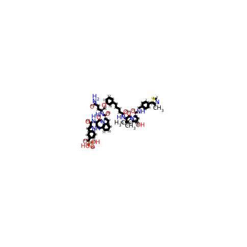 Cc1ncsc1-c1ccc(CNC(=O)[C@@H]2C[C@@H](O)CN2C(=O)[C@@H](NC(=O)CCCCc2cccc(OC[C@H](CCC(N)=O)NC(=O)[C@@H]3Cc4cccc5c4N3C(=O)[C@@H](NC(=O)c3cc4cc(C(=O)P(=O)(O)O)ccc4[nH]3)CC5)c2)C(C)(C)C)cc1